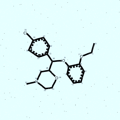 CCOc1ccccc1OC(c1ccc(Cl)cc1)C1CN(C)CCO1